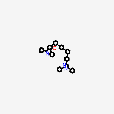 c1ccc(-c2cc(-c3ccc(-c4cccc(-c5ccc(-c6cccc7c6oc6c7ccc7c(-c8ccccc8)nc8ccccc8c76)cc5)c4)cc3)nc(-c3ccccc3)n2)cc1